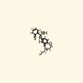 CCCN1CCOc2ccc(NC(=N)C3=CC=CCC3=S)cc2C1